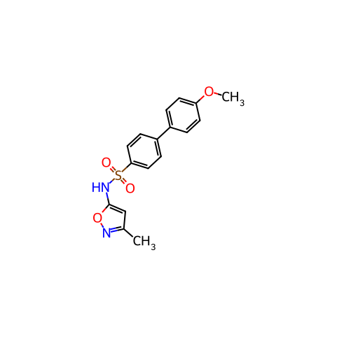 COc1ccc(-c2ccc(S(=O)(=O)Nc3cc(C)no3)cc2)cc1